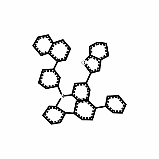 c1ccc(-c2ccc(-c3ccccc3N(c3cccc(-c4cc5ccccc5o4)c3)c3cccc(-c4cccc5ccccc45)c3)cc2)cc1